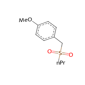 CCCS(=O)(=O)Cc1ccc(OC)cc1